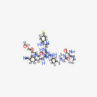 C=N/C(C(=O)N1CCN(Cc2cccc(Nc3nc(NCc4nc5cc(F)ccc5[nH]4)nc(N[C@@H](Cc4ccc(C#N)cc4)C(=O)NCCOCCOC)n3)c2)CC1)=C(\N=C/C)OC